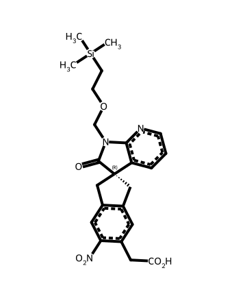 C[Si](C)(C)CCOCN1C(=O)[C@@]2(Cc3cc(CC(=O)O)c([N+](=O)[O-])cc3C2)c2cccnc21